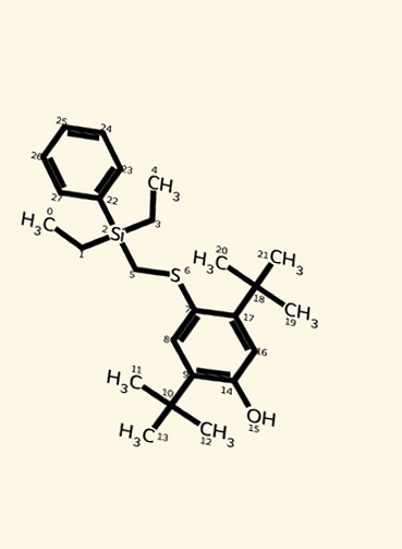 CC[Si](CC)(CSc1cc(C(C)(C)C)c(O)cc1C(C)(C)C)c1ccccc1